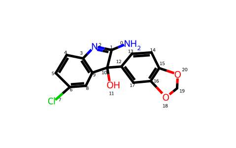 NC1=Nc2ccc(Cl)cc2C1(O)c1ccc2c(c1)OCO2